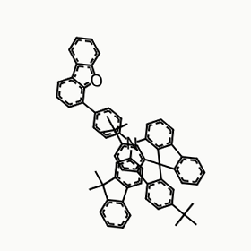 CC(C)(C)c1ccc2c(c1)C1(c3cc(C(C)(C)C)ccc3-2)c2ccccc2-c2cccc(N(c3ccc(-c4cccc5c4oc4ccccc45)cc3)c3ccc4c(c3)C(C)(C)c3ccccc3-4)c21